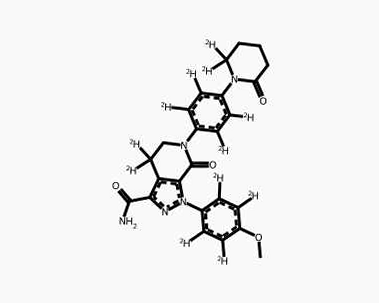 [2H]c1c([2H])c(-n2nc(C(N)=O)c3c2C(=O)N(c2c([2H])c([2H])c(N4C(=O)CCCC4([2H])[2H])c([2H])c2[2H])CC3([2H])[2H])c([2H])c([2H])c1OC